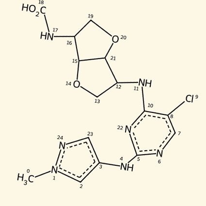 Cn1cc(Nc2ncc(Cl)c(NC3COC4C(NC(=O)O)COC34)n2)cn1